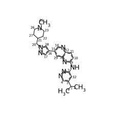 CC(C)c1cnnc(Nc2ccc3ncc(-c4cnn(CC5CCN(C)CC5)c4)cc3n2)c1